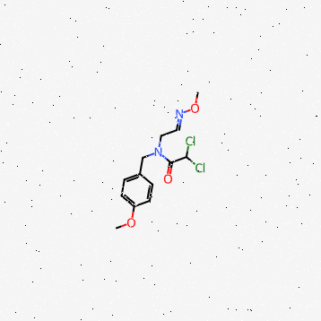 CON=CCN(Cc1ccc(OC)cc1)C(=O)C(Cl)Cl